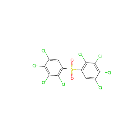 O=S(=O)(c1cc(Cl)c(Cl)c(Cl)c1Cl)c1cc(Cl)c(Cl)c(Cl)c1Cl